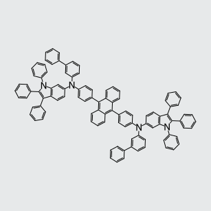 c1ccc(-c2cccc(N(c3ccc(-c4c5ccccc5c(-c5ccc(N(c6cccc(-c7ccccc7)c6)c6ccc7c(-c8ccccc8)c(-c8ccccc8)n(-c8ccccc8)c7c6)cc5)c5ccccc45)cc3)c3ccc4c(-c5ccccc5)c(-c5ccccc5)n(-c5ccccc5)c4c3)c2)cc1